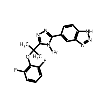 CC(C)n1c(-c2ccc3[nH]nnc3c2)nnc1C(C)(C)Oc1c(F)cccc1F